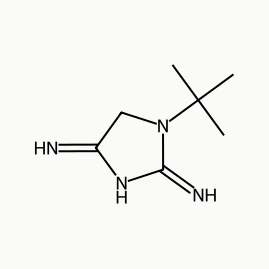 CC(C)(C)N1CC(=N)NC1=N